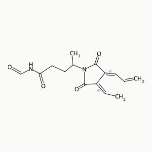 C=C/C=C1/C(=O)N(C(C)CCC(=O)NC=O)C(=O)/C1=C/C